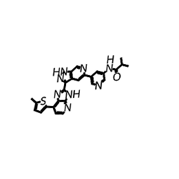 Cc1ccc(-c2ccnc3[nH]c(-c4n[nH]c5cnc(-c6cncc(NC(=O)C(C)C)c6)cc45)nc23)s1